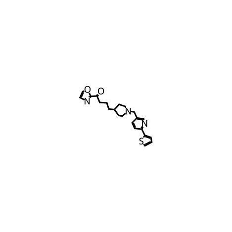 O=C(CCCC1CCN(Cc2ccc(-c3cccs3)nc2)CC1)c1ncco1